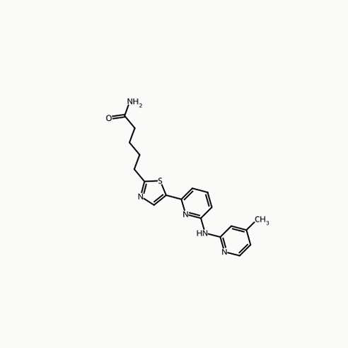 Cc1ccnc(Nc2cccc(-c3cnc(CCCCC(N)=O)s3)n2)c1